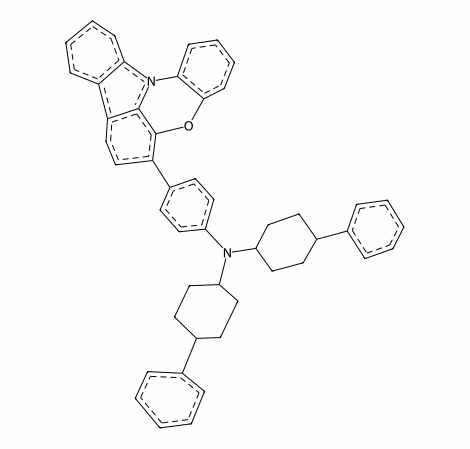 c1ccc(C2CCC(N(c3ccc(-c4ccc5c6ccccc6n6c5c4Oc4ccccc4-6)cc3)C3CCC(c4ccccc4)CC3)CC2)cc1